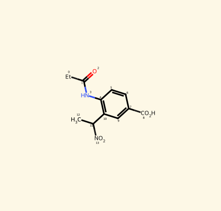 CCC(=O)Nc1ccc(C(=O)O)cc1C(C)[N+](=O)[O-]